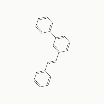 C(=C\c1cccc(-c2ccccc2)c1)/c1ccccc1